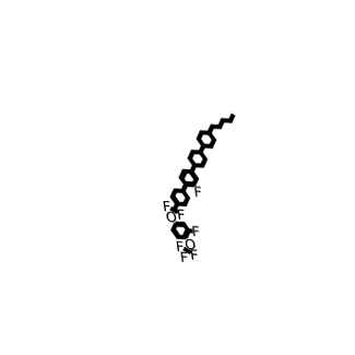 CCCCCC1CCC(C2CCC(c3ccc(C4CC=C(C(F)(F)Oc5ccc(OC(F)(F)F)c(F)c5)CC4)c(F)c3)CC2)CC1